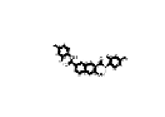 Cc1ccc(NC(=O)c2ccc3cc(O)c(C(=O)Nc4ccc(C)cc4C)cc3c2)c(C)c1